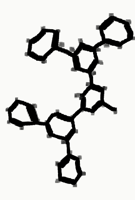 Cc1cc(-c2cc(-c3ccccc3)cc(-c3ccccc3)c2)nc(-c2cc(-c3ccccc3)cc(-c3ccccc3)c2)c1